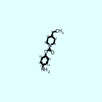 CCC1CCN(C(=O)Oc2ccc(N)cc2)CC1